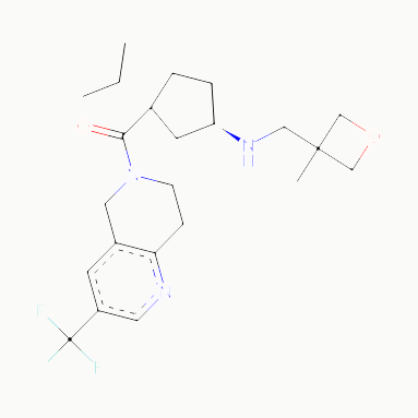 CC(C)[C@]1(C(=O)N2CCc3ncc(C(F)(F)F)cc3C2)CC[C@@H](NCC2(C)COC2)C1